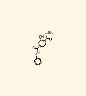 CC(C)(C)OC(=O)N1CCN(C(=O)OCc2ccccc2)CC1C#N